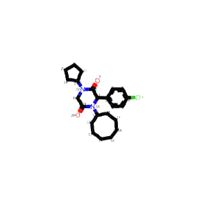 O=C1C(c2ccc(Cl)cc2)N(C2CCCCCCC2)C(=O)CN1C1CCCC1